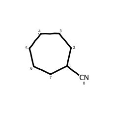 N#CC1CC[CH]CCC1